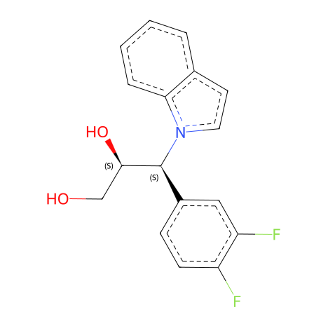 OC[C@@H](O)[C@H](c1ccc(F)c(F)c1)n1ccc2ccccc21